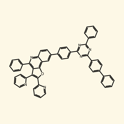 c1ccc(-c2ccc(-c3nc(-c4ccccc4)nc(-c4ccc(-c5ccc6nc(-c7ccccc7)c7c(-c8ccccn8)c(-c8ccccn8)oc7c6c5)cc4)n3)cc2)cc1